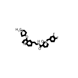 CN1CCC(Oc2ccnc3ccc(CCNC(=O)c4cccn(Cc5ccc(F)c(F)c5)c4=O)cc23)CC1